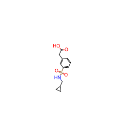 O=C(O)Cc1cccc(S(=O)(=O)NCC2CC2)c1